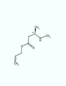 C=CCOC(=O)C[C@@H](C)NC